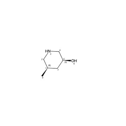 C[C@H]1CNC[C@@H](O)C1